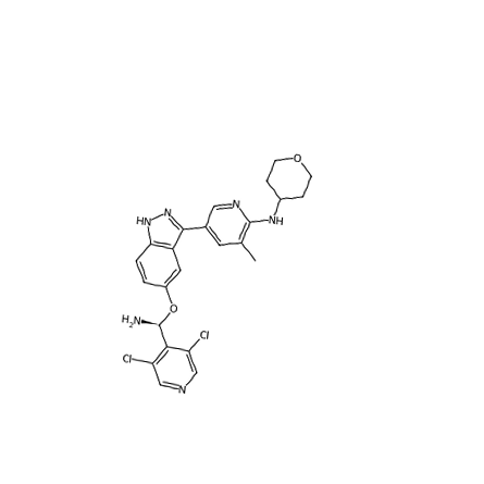 Cc1cc(-c2n[nH]c3ccc(O[C@H](N)c4c(Cl)cncc4Cl)cc23)cnc1NC1CCOCC1